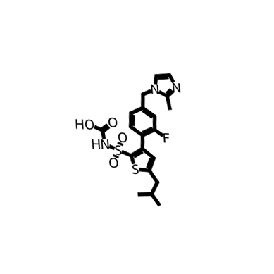 Cc1nccn1Cc1ccc(-c2cc(CC(C)C)sc2S(=O)(=O)NC(=O)O)c(F)c1